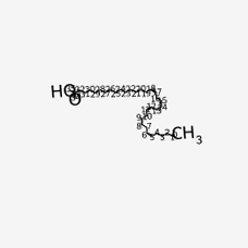 CCCCC/C=C\C/C=C\C/C=C\C/C=C\C/C=C\CCCCCCCCCCCCCCC(=O)O